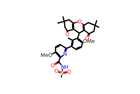 COc1ccc(-c2ccc(OC)c(C3C4=C(CC(C)(C)CC4=O)OC4=C3C(=O)CC(C)(C)C4)c2C)nc1C(=O)NS(C)(=O)=O